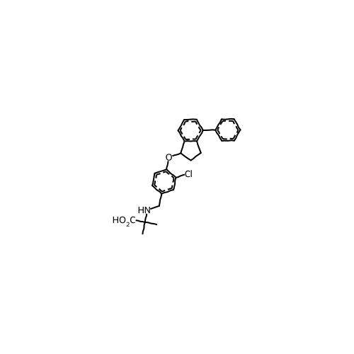 CC(C)(NCc1ccc(OC2CCc3c(-c4ccccc4)cccc32)c(Cl)c1)C(=O)O